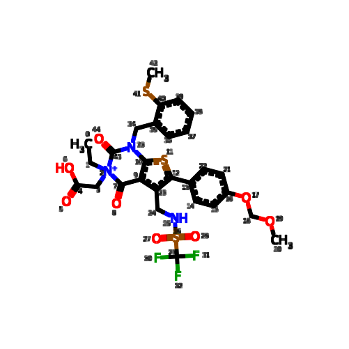 CC[N+]1(CC(=O)O)C(=O)c2c(sc(-c3ccc(OCOC)cc3)c2CNS(=O)(=O)C(F)(F)F)N(Cc2ccccc2SC)C1=O